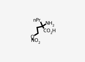 CCCC(N)(CCO[N+](=O)[O-])C(=O)O